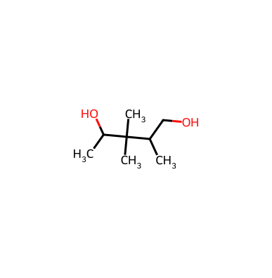 CC(O)C(C)(C)C(C)CO